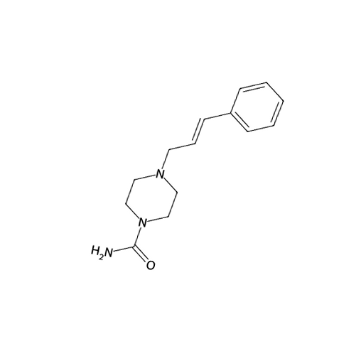 NC(=O)N1CCN(CC=Cc2ccccc2)CC1